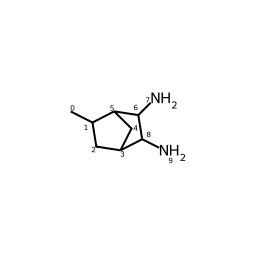 CC1CC2CC1C(N)C2N